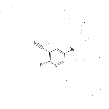 N#Cc1cc(Br)cnc1F